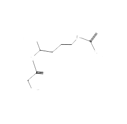 C=C(N)NCCCC(NC(=O)CCCCCCCCCCC)C(=O)OCC